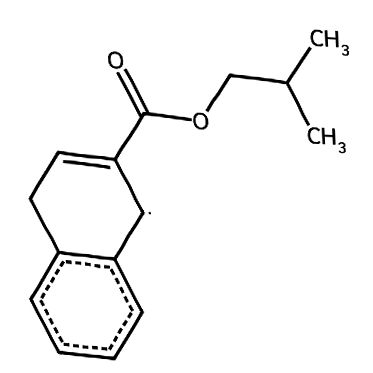 CC(C)COC(=O)C1=CCc2ccccc2[CH]1